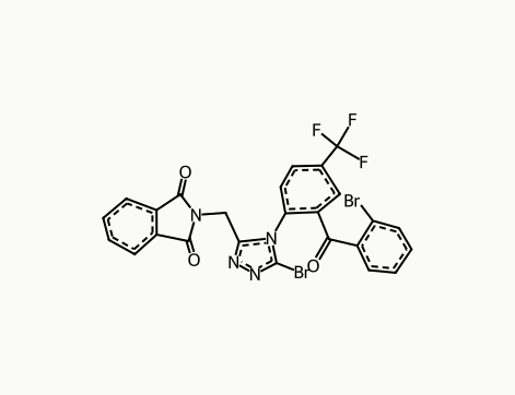 O=C(c1ccccc1Br)c1cc(C(F)(F)F)ccc1-n1c(Br)nnc1CN1C(=O)c2ccccc2C1=O